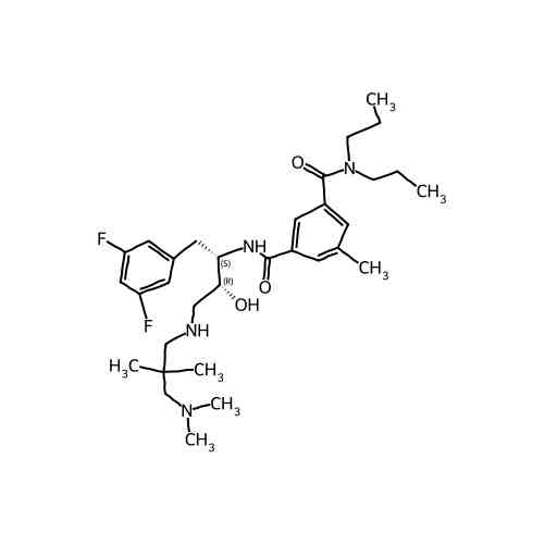 CCCN(CCC)C(=O)c1cc(C)cc(C(=O)N[C@@H](Cc2cc(F)cc(F)c2)[C@H](O)CNCC(C)(C)CN(C)C)c1